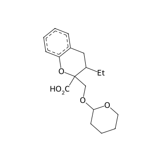 CCC1Cc2ccccc2OC1(COC1CCCCO1)C(=O)O